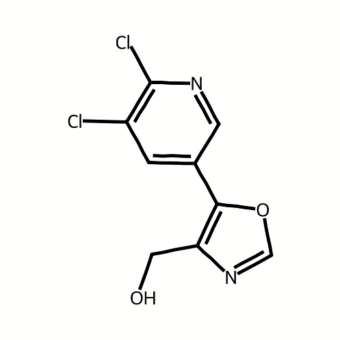 OCc1ncoc1-c1cnc(Cl)c(Cl)c1